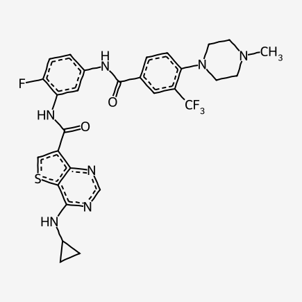 CN1CCN(c2ccc(C(=O)Nc3ccc(F)c(NC(=O)c4csc5c(NC6CC6)ncnc45)c3)cc2C(F)(F)F)CC1